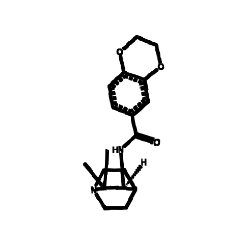 CC1(C)[C@@H](NC(=O)c2ccc3c(c2)OCCO3)C2CCN1CC2